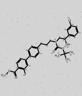 COC(=O)c1ccc(-c2ccc(CCCN(C[C@H](O)c3cccc(Cl)c3)C(=O)OC(C)(C)C)cc2)cc1F